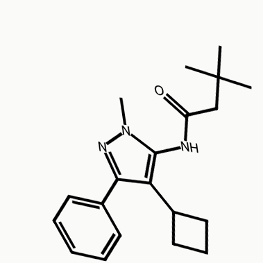 Cn1nc(-c2ccccc2)c(C2CCC2)c1NC(=O)CC(C)(C)C